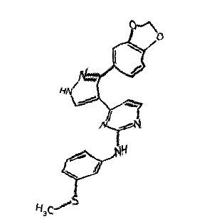 CSc1cccc(Nc2nccc(-c3c[nH]nc3-c3ccc4c(c3)OCO4)n2)c1